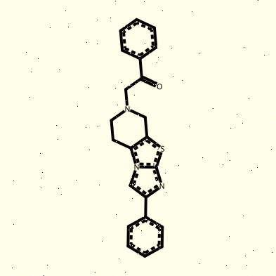 O=C(CN1CCc2c(sc3nc(-c4ccccc4)cn23)C1)c1ccccc1